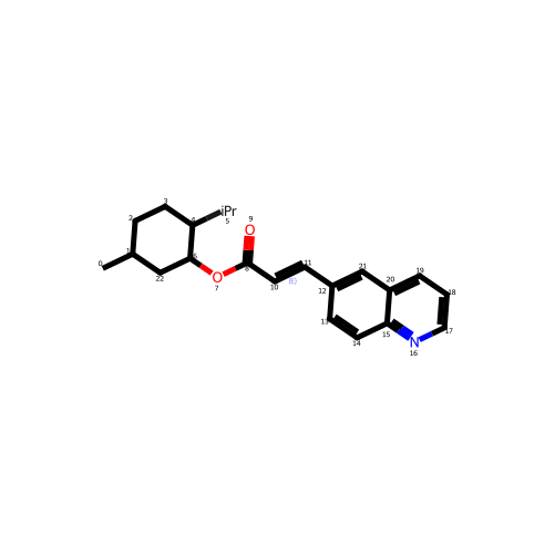 CC1CCC(C(C)C)C(OC(=O)/C=C/c2ccc3ncccc3c2)C1